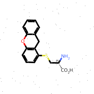 N[C@@H](CSc1cccc2c1Cc1ccccc1O2)C(=O)O